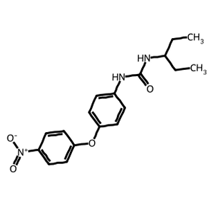 CCC(CC)NC(=O)Nc1ccc(Oc2ccc([N+](=O)[O-])cc2)cc1